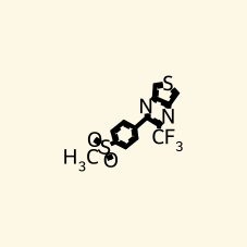 CS(=O)(=O)c1ccc(-c2nc3cscc3nc2C(F)(F)F)cc1